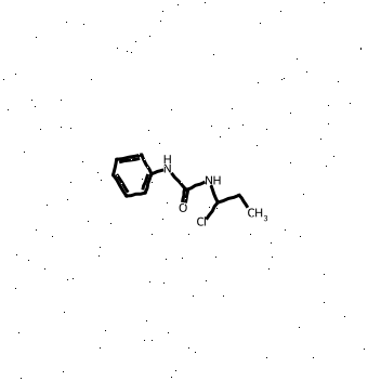 CCC(Cl)NC(=O)Nc1ccccc1